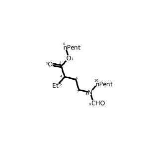 CCCCCOC(=O)C(CC)CCN(C=O)CCCCC